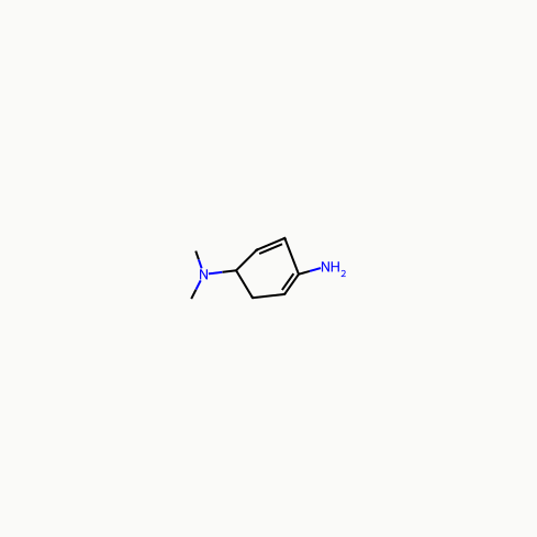 CN(C)C1C=CC(N)=CC1